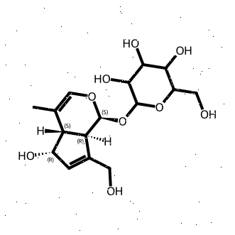 CC1=CO[C@@H](OC2OC(CO)C(O)C(O)C2O)[C@H]2C(CO)=C[C@H](O)[C@H]12